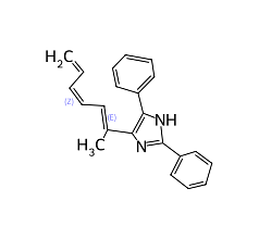 C=C/C=C\C=C(/C)c1nc(-c2ccccc2)[nH]c1-c1ccccc1